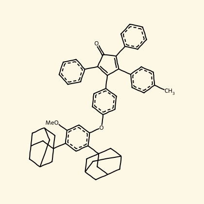 COc1cc(Oc2ccc(C3=C(c4ccccc4)C(=O)C(c4ccccc4)=C3c3ccc(C)cc3)cc2)c(C23CC4CC(CC(C4)C2)C3)cc1C12CC3CC(CC(C3)C1)C2